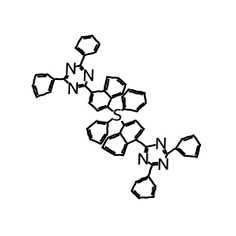 c1ccc(-c2nc(-c3ccccc3)nc(-c3ccc(S(c4ccccc4)(c4ccccc4)c4ccc(-c5nc(-c6ccccc6)nc(-c6ccccc6)n5)c5ccccc45)c4ccccc34)n2)cc1